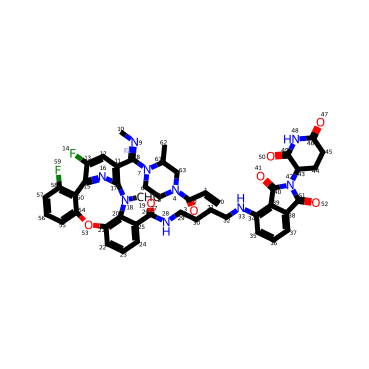 C=CC(=O)N1CCN(/C(=N/C)c2cc(F)c3nc2N(C=O)c2c(cccc2C(=O)NCCCCNc2cccc4c2C(=O)N(C2CCC(=O)NC2=O)C4=O)Oc2cccc(F)c2-3)C(C)C1